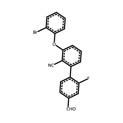 N#Cc1c(Oc2ccccc2Br)cccc1-c1ccc(C=O)cc1F